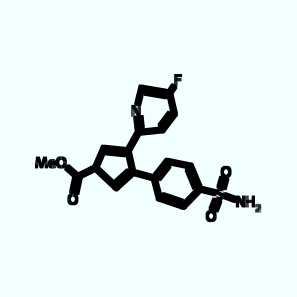 COC(=O)C1C=C(c2ccc(S(N)(=O)=O)cc2)C(c2ccc(F)cn2)=C1